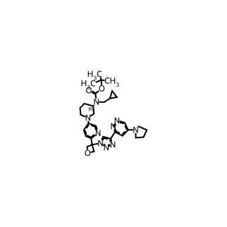 CC(C)(C)OC(=O)N(CC1CC1)[C@@H]1CCCN(c2ccc(C3(n4cc(-c5cc(N6CCCC6)cnn5)nn4)COC3)nc2)C1